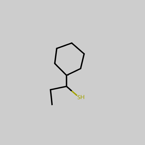 CCC(S)[C]1CCCCC1